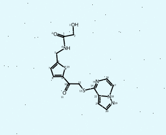 O=C(CO)NCc1ccc(C(=O)CSc2nccn3nccc23)s1